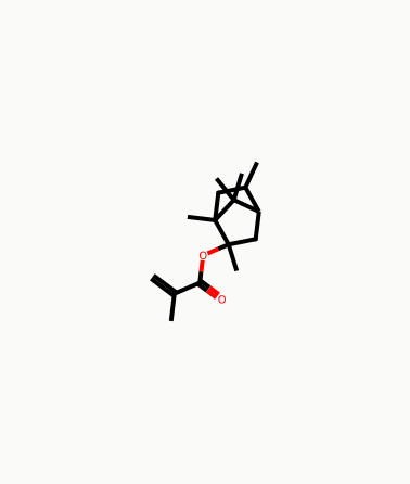 C=C(C)C(=O)OC1(C)CC2C(C)CC1(C)C2(C)C